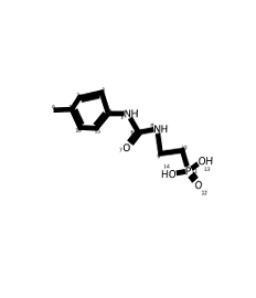 Cc1ccc(NC(=O)NCCP(=O)(O)O)cc1